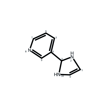 C1=CNC(c2cccnc2)N1